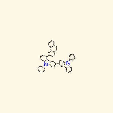 c1ccc(-n2c3ccccc3c3cc(-c4ccc5c(c4)c4c(-c6ccc7ccc8ccccc8c7c6)cccc4n5-c4ccccc4)ccc32)cc1